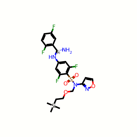 C[Si](C)(C)CCOCN(c1ccon1)S(=O)(=O)c1c(F)cc(N[C@@H](N)c2cc(F)ccc2F)cc1F